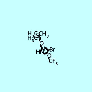 C[Si](C)(C)CCOCN1C=C(Br)C(OCC(F)(F)F)=CN1